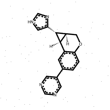 c1ncc(-c2ccc3c(c2)[C@@H]2[C@H](CO3)[C@H]2c2c[nH]cn2)cn1